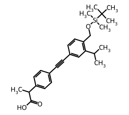 CC(C)c1cc(C#Cc2ccc(C(C)C(=O)O)cc2)ccc1CO[Si](C)(C)C(C)(C)C